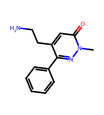 Cn1nc(-c2ccccc2)c(CCN)cc1=O